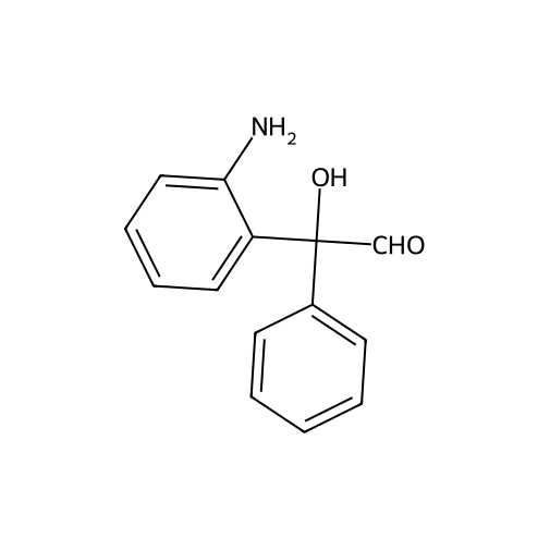 Nc1ccccc1C(O)(C=O)c1ccccc1